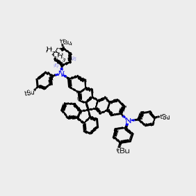 C=C(/C=C\C(=C/C)N(c1ccc(C(C)(C)C)cc1)c1ccc2cc3c(cc2c1)C1(c2ccccc2-c2ccccc21)c1cc2cc(N(c4ccc(C(C)(C)C)cc4)c4ccc(C(C)(C)C)cc4)ccc2cc1-3)C(C)(C)C